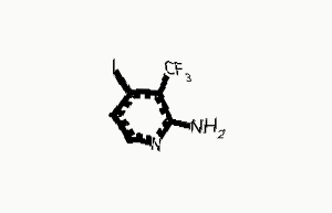 Nc1nccc(I)c1C(F)(F)F